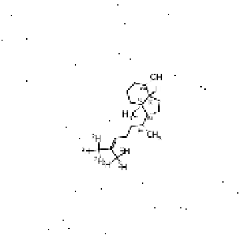 [2H]C([2H])([2H])C(=CCC[C@@H](C)[C@H]1CC[C@H]2[C@@H](O)CCC[C@]12C)C([2H])([2H])[2H]